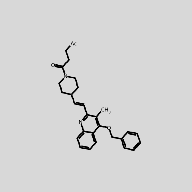 CC(=O)CCC(=O)N1CCC(/C=C/c2nc3ccccc3c(OCc3ccccc3)c2C)CC1